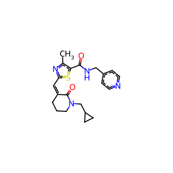 Cc1nc(/C=C2/CCCN(CC3CC3)C2=O)sc1C(=O)NCc1ccncc1